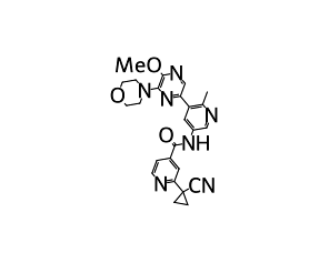 COc1ncc(-c2cc(NC(=O)c3ccnc(C4(C#N)CC4)c3)cnc2C)nc1N1CCOCC1